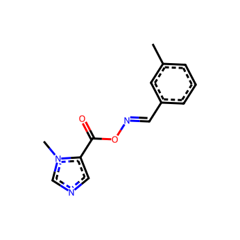 Cc1cccc(C=NOC(=O)c2cncn2C)c1